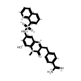 Cl.Cn1c(=O)c(Cc2ccc(C(=N)N)cc2)nc2cc(NS(=O)(=O)c3cccc4cccnc34)ccc21